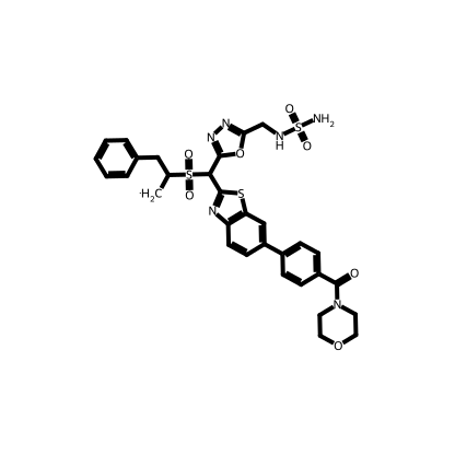 [CH2]C(Cc1ccccc1)S(=O)(=O)C(c1nnc(CNS(N)(=O)=O)o1)c1nc2ccc(-c3ccc(C(=O)N4CCOCC4)cc3)cc2s1